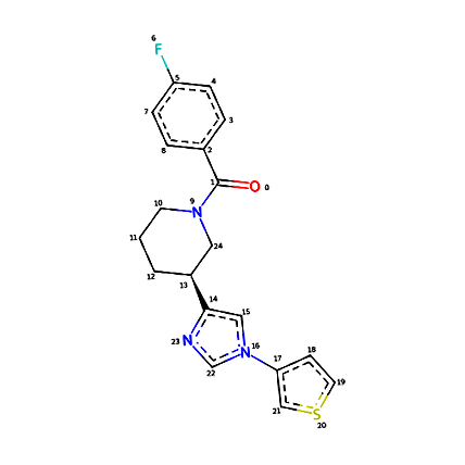 O=C(c1ccc(F)cc1)N1CCC[C@H](c2cn(-c3ccsc3)cn2)C1